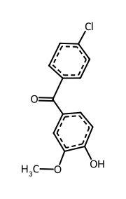 COc1cc(C(=O)c2ccc(Cl)cc2)ccc1O